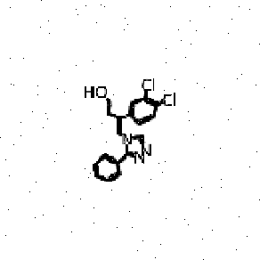 OCCC(Cn1cnnc1-c1ccccc1)c1ccc(Cl)c(Cl)c1